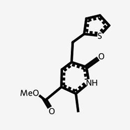 COC(=O)c1cc(Cc2cccs2)c(=O)[nH]c1C